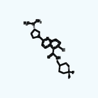 CN(C)[C@H]1CCN(c2ccc3c(C(=O)NCC4CCC(F)(F)CC4)c(Cl)ccc3n2)C1